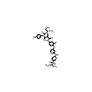 C[C@@H](CO)n1cc(C(=O)Nc2ccc(Oc3ccnc(Nc4ccc(S(=O)(=O)N(C)C)cn4)c3)c(F)c2)c(=O)n(-c2ccc(F)cc2)c1=O